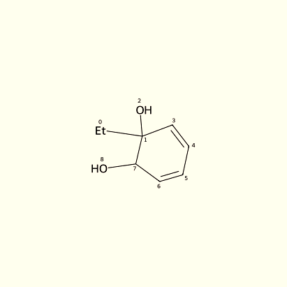 CCC1(O)C=CC=CC1O